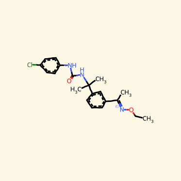 CCO/N=C(\C)c1cccc(C(C)(C)NC(=O)Nc2ccc(Cl)cc2)c1